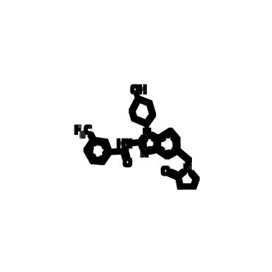 O=C(Nc1nc2cc(CN3CCCC3=O)ccc2n1[C@H]1CC[C@H](O)CC1)c1cccc(C(F)(F)F)c1